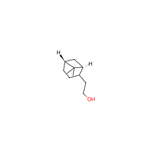 CC1(C)[C@@H]2CCC(CCO)[C@@H]1C2